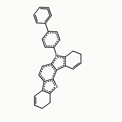 C1=C=C(c2ccc(-n3c4c(c5c6sc7c(c6ccc53)C=CCC7)C=CCC4)cc2)C=CC=1